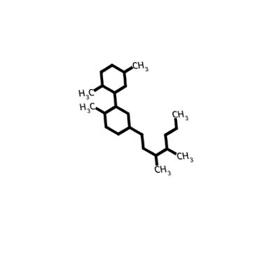 CCCC(C)C(C)CCC1CCC(C)C(C2CC(C)CCC2C)C1